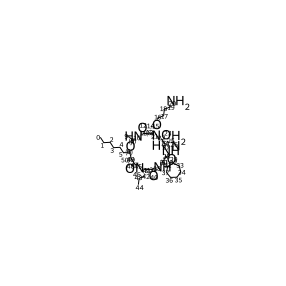 CCCCCC[C@H]1O[C@@H](C)NC(=O)[C@H](COCCCCN)NC(=O)[C@H](CN)NC(=O)[C@H](C2CCCCCC2)NC(=O)[C@H](CCC)N(C)C(=O)[C@@H]1C